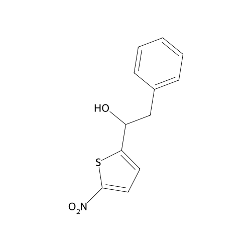 O=[N+]([O-])c1ccc(C(O)Cc2ccccc2)s1